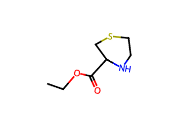 CCOC(=O)C1CSCCN1